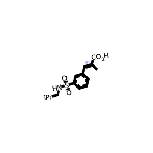 C/C(=C\c1cccc(S(=O)(=O)NCC(C)C)c1)C(=O)O